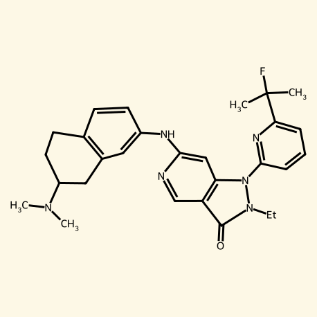 CCn1c(=O)c2cnc(Nc3ccc4c(c3)CC(N(C)C)CC4)cc2n1-c1cccc(C(C)(C)F)n1